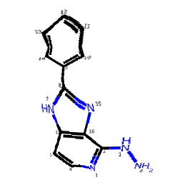 NNc1nccc2[nH]c(-c3ccccc3)nc12